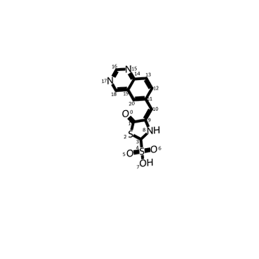 O=C1SC(S(=O)(=O)O)NC1=Cc1ccc2ncncc2c1